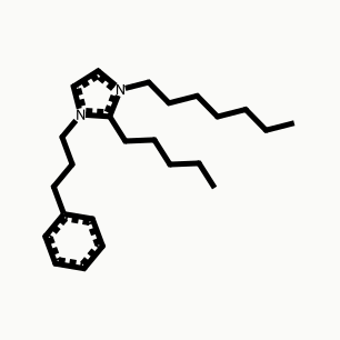 CCCCCCCn1cc[n+](CCCc2ccccc2)c1CCCCC